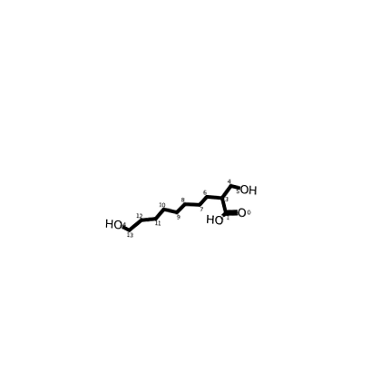 O=C(O)C(CO)CCCCCCCCO